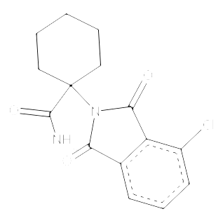 NC(=O)C1(N2C(=O)c3cccc(Cl)c3C2=O)CCCCC1